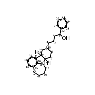 OC(CCCN1CC[C@H]2[C@@H](C1)c1cccc3c1N2CCCS3)c1ccncc1